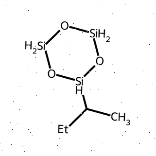 CCC(C)[SiH]1O[SiH2]O[SiH2]O1